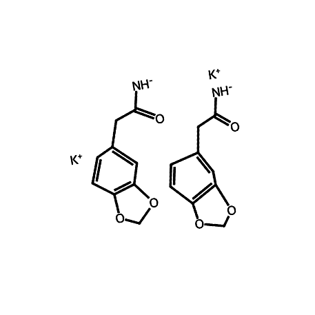 [K+].[K+].[NH-]C(=O)Cc1ccc2c(c1)OCO2.[NH-]C(=O)Cc1ccc2c(c1)OCO2